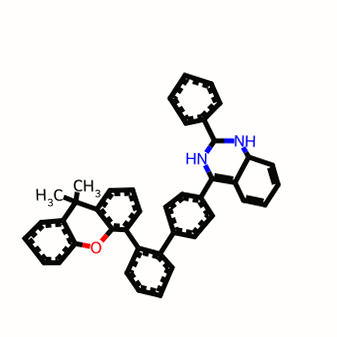 CC1(C)c2ccccc2Oc2c(-c3ccccc3-c3ccc(C4=C5C=CC=CC5NC(c5ccccc5)N4)cc3)cccc21